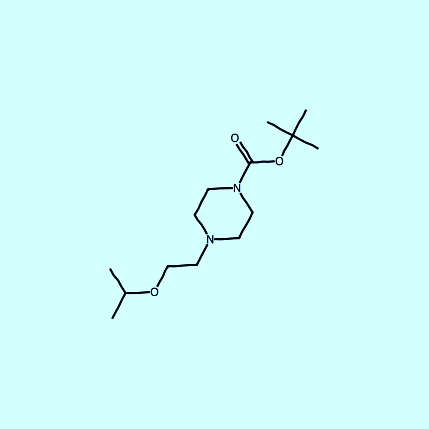 CC(C)OCCN1CCN(C(=O)OC(C)(C)C)CC1